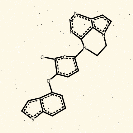 Clc1cc(N2CCn3ccc4ncnc2c43)ccc1Oc1cccc2sccc12